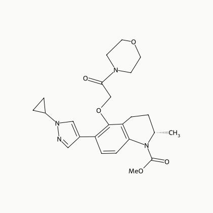 COC(=O)N1c2ccc(-c3cnn(C4CC4)c3)c(OCC(=O)N3CCOCC3)c2CC[C@@H]1C